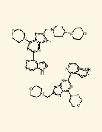 Cn1c(CN2CCC(N3CCOCC3)CC2)nc2c(N3CCOCC3)nc(-c3cncc4[nH]ccc34)nc21.c1cc2[nH]ccc2c(-c2nc(N3CCOCC3)c3sc(CN4CCOCC4)cc3n2)n1